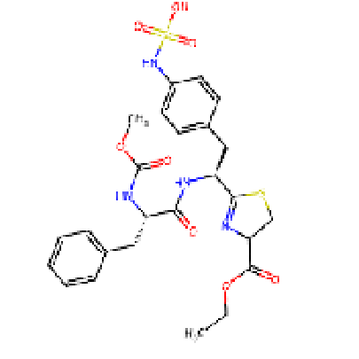 CCOC(=O)C1CSC([C@H](Cc2ccc(NS(=O)(=O)O)cc2)NC(=O)[C@H](Cc2ccccc2)NC(=O)OC)=N1